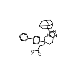 COC(=O)CCC1(c2ccc(-c3ccccc3)cc2)CCc2nnc(C34CC5CC(CC(C5)C3)C4)n2C1